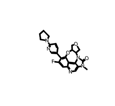 Cn1c(=O)n2c3c4c(c(-c5ccc(N6CCCC6)nc5)c(F)cc4ncc31)OC1COCC12